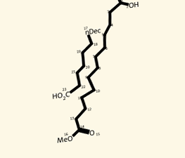 CCCCCC(O)CCCCCCCCCCCC(=O)OC.CCCCCCCCCCCCCCCC(=O)O